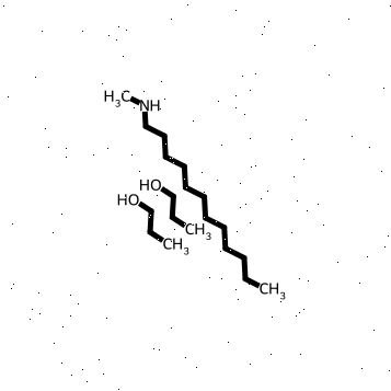 CCCCCCCCCCCCNC.CCCO.CCCO